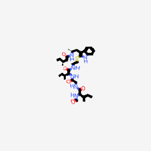 CCC(C)C(NC=O)C(=O)NCC(=O)NC(C(=O)NCCSc1[nH]c2ccccc2c1C[C@@H](C)NC(=O)C[C@@H](C)CC)C(C)CC